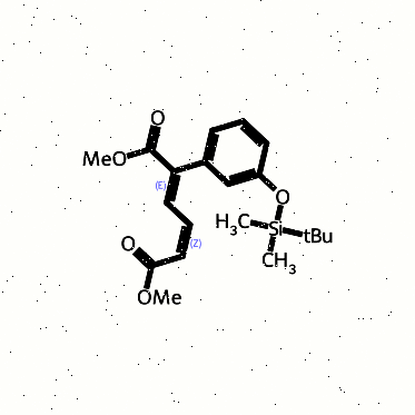 COC(=O)/C=C\C=C(\C(=O)OC)c1cccc(O[Si](C)(C)C(C)(C)C)c1